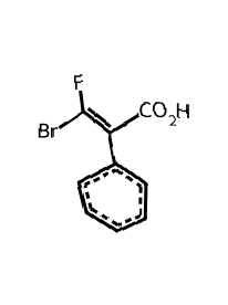 O=C(O)C(=C(F)Br)c1ccccc1